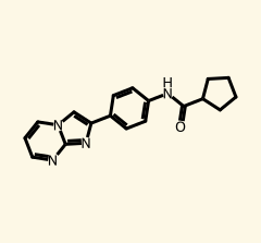 O=C(Nc1ccc(-c2cn3cccnc3n2)cc1)C1CCCC1